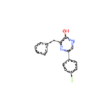 Oc1ncc(-c2ccc(F)cc2)nc1Cc1ccccc1